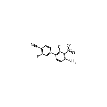 N#Cc1ccc(-c2ccc(N)c([N+](=O)[O-])c2Cl)cc1F